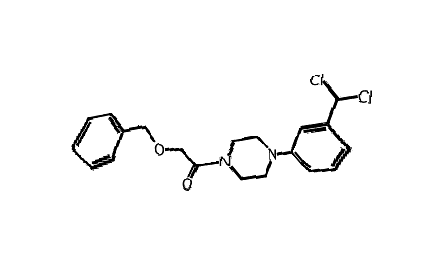 O=C(COCc1ccccc1)N1CCN(c2cccc(C(Cl)Cl)c2)CC1